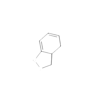 C1=CCC2CSOC2=C1